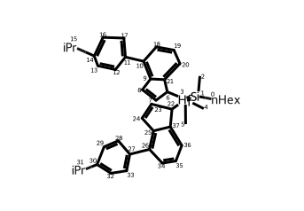 CCCCCC[Si](C)=[Hf]([CH3])([CH3])([CH]1C=Cc2c(-c3ccc(C(C)C)cc3)cccc21)[CH]1C=Cc2c(-c3ccc(C(C)C)cc3)cccc21